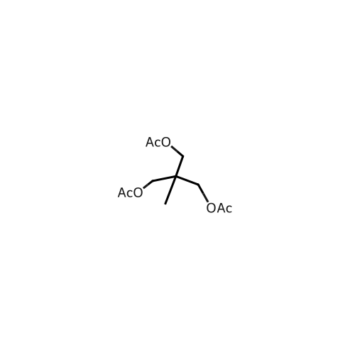 CC(=O)OCC(C)(COC(C)=O)COC(C)=O